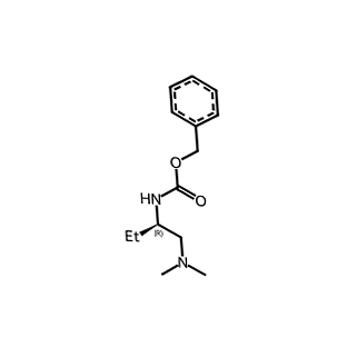 CC[C@H](CN(C)C)NC(=O)OCc1ccccc1